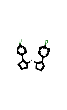 Clc1ccc(C2=[C]([Zr][C]3=C(c4ccc(Cl)cc4)C=CC3)CC=C2)cc1